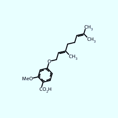 COc1cc(OC/C=C(\C)CCC=C(C)C)ccc1C(=O)O